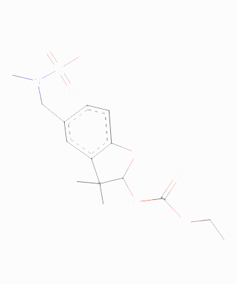 CCOC(=O)OC1Oc2ccc(CN(C)S(=O)(=O)O)cc2C1(C)C